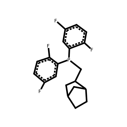 Fc1ccc(F)c(P(CC2CC3CCC2C3)c2cc(F)ccc2F)c1